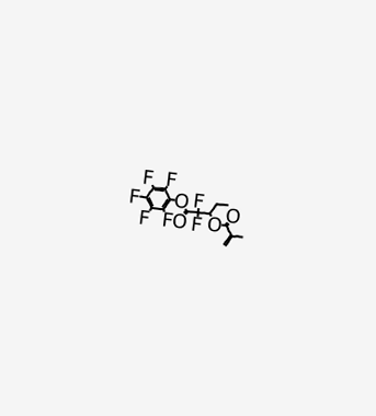 C=C(C)C(=O)OC(CC)C(F)(F)C(=O)Oc1c(F)c(F)c(F)c(F)c1F